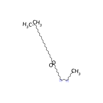 CCCCC/C=C\C/C=C\CCCCCCCC(=O)OCCCCCCCCCCCCCCCCCCCCC(C)CC